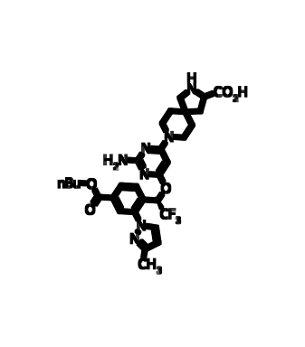 CCCCOC(=O)c1ccc([C@@H](Oc2cc(N3CCC4(CC3)CNC(C(=O)O)C4)nc(N)n2)C(F)(F)F)c(-n2ccc(C)n2)c1